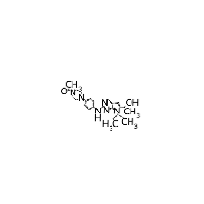 CCC(CC)n1c(C(C)O)cc2cnc(Nc3ccc(N4CCN(C(C)=O)CC4)cc3)nc21